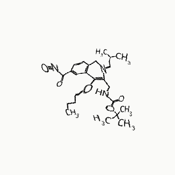 CCCCOC1=C(CNC(=O)OC(C)(C)C)N(CC(C)C)Cc2ccc(C(=O)N=O)cc21